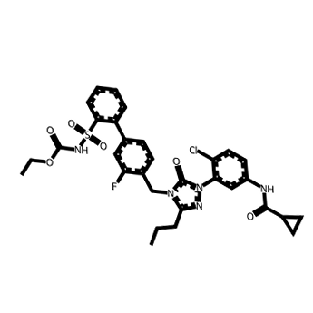 CCCc1nn(-c2cc(NC(=O)C3CC3)ccc2Cl)c(=O)n1Cc1ccc(-c2ccccc2S(=O)(=O)NC(=O)OCC)cc1F